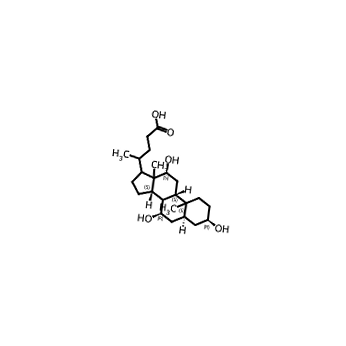 CC(CCC(=O)O)C1CC[C@H]2C3[C@H](O)C[C@@H]4C[C@H](O)CCC4(C)[C@H]3C[C@H](O)C12C